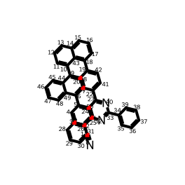 N#Cc1ccc(-c2ccc(-c3cccc4cccc(-c5ccc(-c6cc(-c7ccccc7)nc(-c7ccccc7)n6)cc5)c34)c3ccccc23)cc1